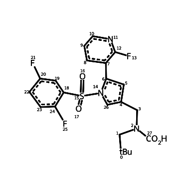 CC(C)(C)CN(Cc1cc(-c2cccnc2F)n(S(=O)(=O)c2cc(F)ccc2F)c1)C(=O)O